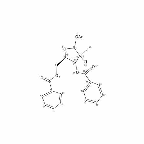 CC(=O)OC1O[C@H](COC(=O)c2ccccc2)[C@@H](OC(=O)c2ccccc2)[C@]1(F)Cl